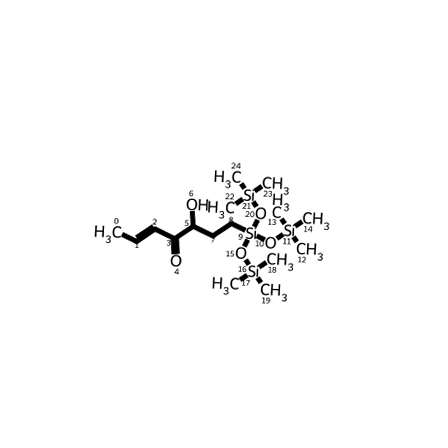 CC=CC(=O)C(O)CC[Si](O[Si](C)(C)C)(O[Si](C)(C)C)O[Si](C)(C)C